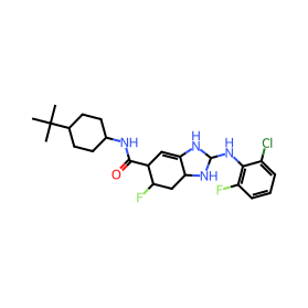 CC(C)(C)C1CCC(NC(=O)C2C=C3NC(Nc4c(F)cccc4Cl)NC3CC2F)CC1